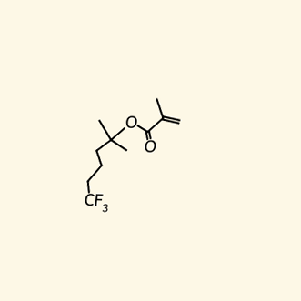 C=C(C)C(=O)OC(C)(C)CCCC(F)(F)F